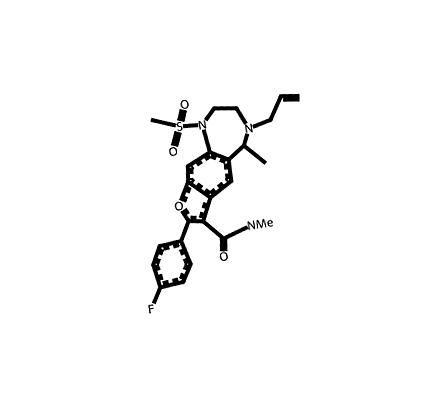 C=CCN1CCN(S(C)(=O)=O)c2cc3oc(-c4ccc(F)cc4)c(C(=O)NC)c3cc2C1C